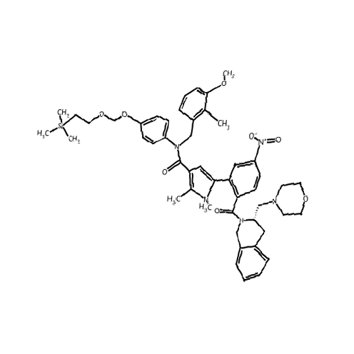 COc1cccc(CN(C(=O)c2cc(-c3cc([N+](=O)[O-])ccc3C(=O)N3Cc4ccccc4C[C@H]3CN3CCOCC3)n(C)c2C)c2ccc(OCOCC[Si](C)(C)C)cc2)c1C